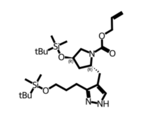 C=CCOC(=O)N1C[C@H](O[Si](C)(C)C(C)(C)C)C[C@H]1Cc1c[nH]nc1CCCO[Si](C)(C)C(C)(C)C